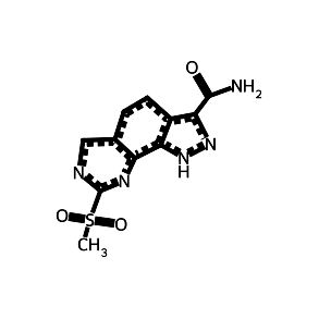 CS(=O)(=O)c1ncc2ccc3c(C(N)=O)n[nH]c3c2n1